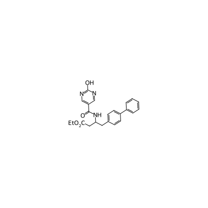 CCOC(=O)CC(Cc1ccc(-c2ccccc2)cc1)NC(=O)c1cnc(O)nc1